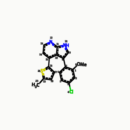 COc1cc(Cl)ccc1-c1c[nH]c2nccc(-c3ccc(C)s3)c12